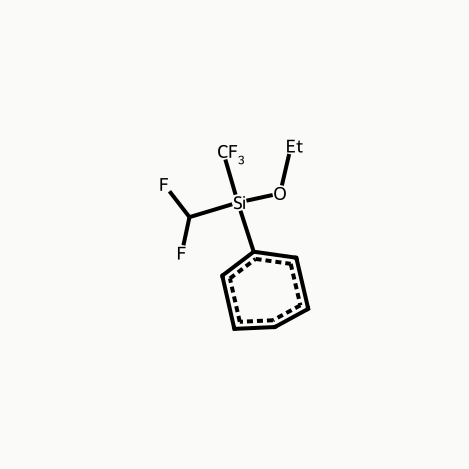 CCO[Si](c1ccccc1)(C(F)F)C(F)(F)F